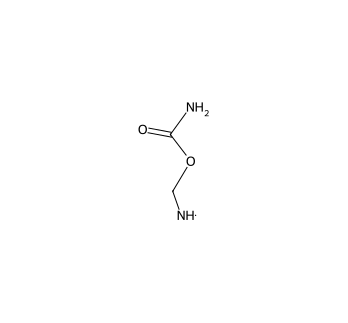 [NH]COC(N)=O